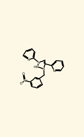 O=[N+]([O-])c1cccc(CN2NN(c3ccccn3)C=C2c2ccccn2)c1